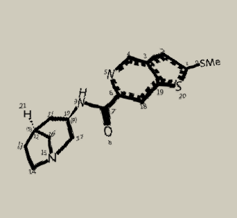 CSc1cc2cnc(C(=O)N[C@@H]3C[C@@H]4CCN(C4)C3)cc2s1